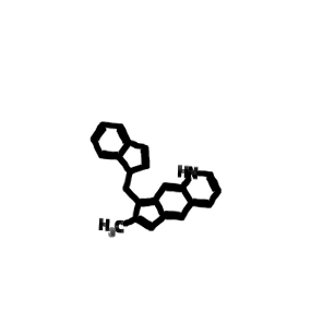 Cc1cc2cc3ccc[nH]c3cc2c1CC1C=Cc2ccccc21